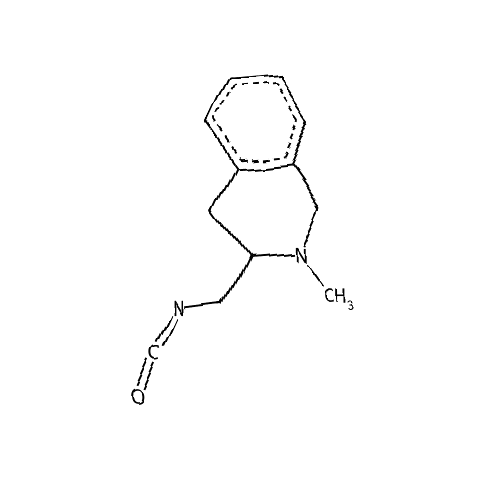 CN1Cc2ccccc2CC1CN=C=O